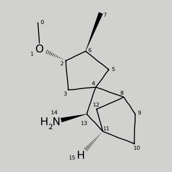 CO[C@H]1CC2(C[C@@H]1C)C1CC[C@H](C1)[C@H]2N